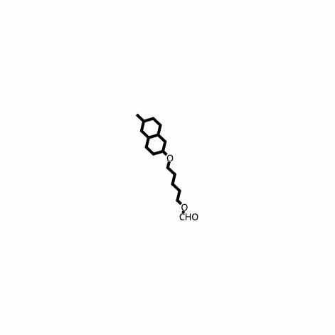 CC1CCC2CC(OCCCCCOC=O)CCC2C1